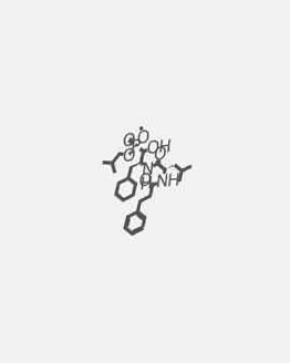 COP(=O)(OCC(C)C)C(O)[C@H](CC1CCCCC1)NC(=O)[C@H](CC(C)C)NC(=O)CCc1ccccc1